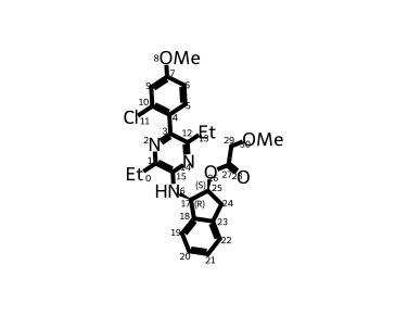 CCc1nc(-c2ccc(OC)cc2Cl)c(CC)nc1N[C@@H]1c2ccccc2C[C@@H]1OC(=O)COC